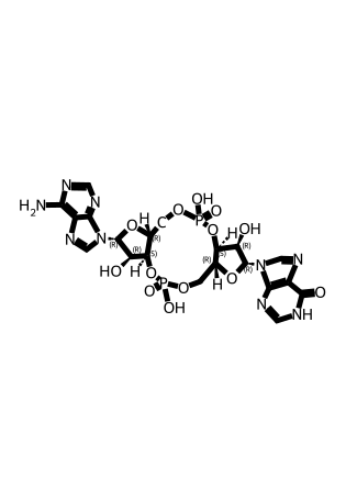 Nc1ncnc2c1ncn2[C@@H]1O[C@@H]2COP(=O)(O)O[C@H]3[C@@H](O)[C@H](n4cnc5c(=O)[nH]cnc54)O[C@@H]3COP(=O)(O)O[C@H]2[C@H]1O